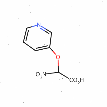 O=C(O)C(Oc1cccnc1)[N+](=O)[O-]